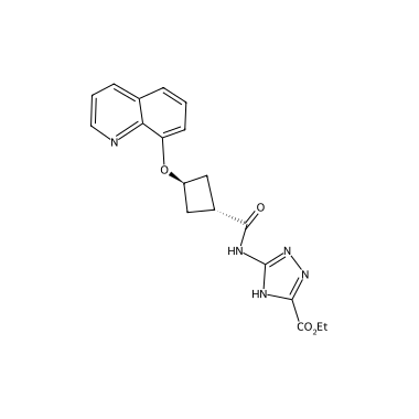 CCOC(=O)c1nnc(NC(=O)[C@H]2C[C@H](Oc3cccc4cccnc34)C2)[nH]1